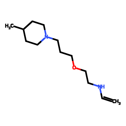 C=CNCCOCCCN1CCC(C)CC1